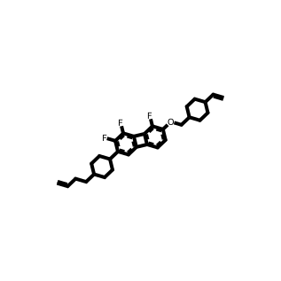 C=CCCC1CCC(c2cc3c(c(F)c2F)-c2c-3ccc(OCC3CCC(C=C)CC3)c2F)CC1